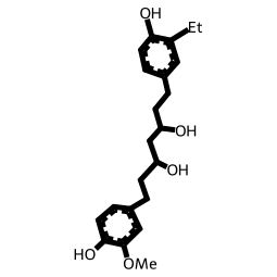 CCc1cc(CCC(O)CC(O)CCc2ccc(O)c(OC)c2)ccc1O